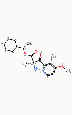 COc1ccnc(C(=O)[C@@](C)(N)C(=O)OC(C)C2CCCCC2)c1O